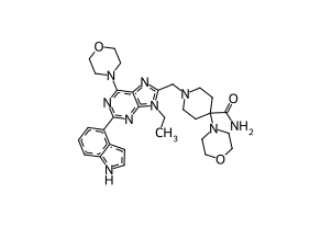 CCn1c(CN2CCC(C(N)=O)(N3CCOCC3)CC2)nc2c(N3CCOCC3)nc(-c3cccc4[nH]ccc34)nc21